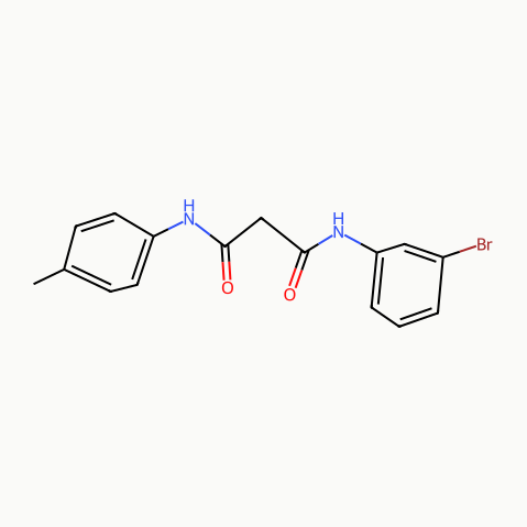 Cc1ccc(NC(=O)CC(=O)Nc2cccc(Br)c2)cc1